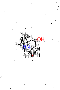 [2H]C([2H])([2H])C1(C([2H])([2H])[2H])CC(O)CC(C([2H])([2H])[2H])(C([2H])([2H])[2H])N1